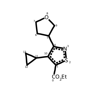 CCOC(=O)c1snc(C2CCOC2)c1C1CC1